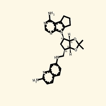 CC1(C)O[C@@H]2[C@@H](CNc3ccc4ccc(N)nc4c3)C[C@@H](n3c4c(c5c(N)ncnc53)CCC4)[C@@H]2O1